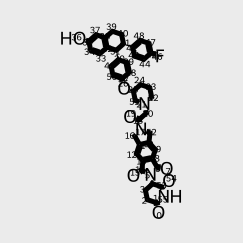 O=C1CC[C@@H](N2C(=O)c3cc4c(cc3C2=O)CN(C(=O)CN2CCC[C@H](Oc3ccc([C@@H]5c6ccc(O)cc6CC[C@@H]5c5ccc(F)cc5)cc3)C2)C4)C(=O)N1